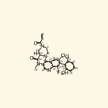 C=CC(=O)N1CCN2c3c(cnc4c(F)c(-c5c(O)cccc5Cl)c(Cl)cc34)N(C)C(=O)[C@H]2C1